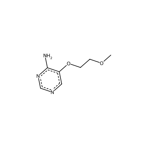 COCCOc1cncnc1N